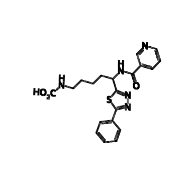 O=C(O)NCCCCC(NC(=O)c1cccnc1)c1nnc(-c2ccccc2)s1